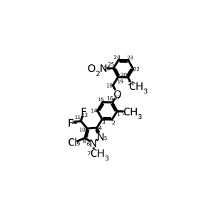 Cc1cc(-c2nn(C)c(Cl)c2C(F)F)ccc1OCc1c(C)cccc1[N+](=O)[O-]